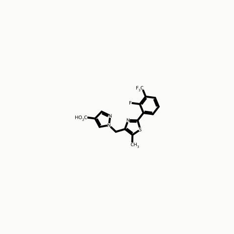 Cc1sc(-c2cccc(C(F)(F)F)c2F)nc1Cn1cc(C(=O)O)cn1